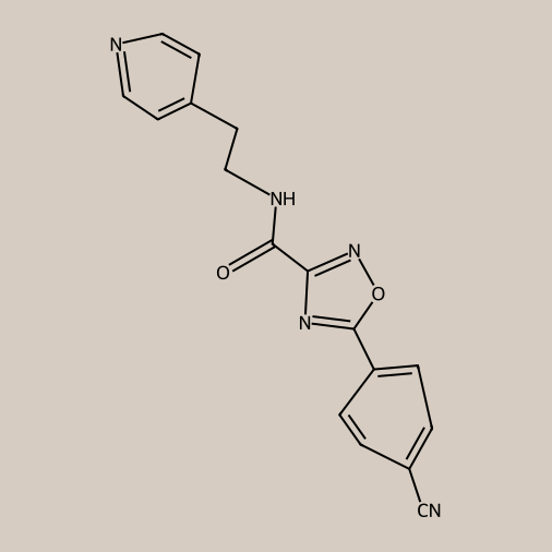 N#Cc1ccc(-c2nc(C(=O)NCCc3ccncc3)no2)cc1